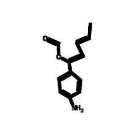 CC=CC=C(O[C]=O)c1ccc(N)cc1